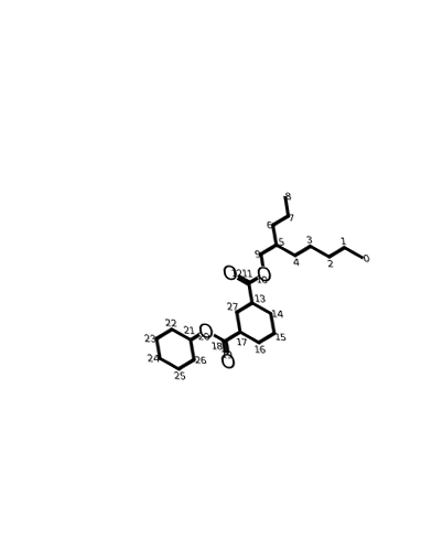 CCCCCC(CCC)COC(=O)C1CCCC(C(=O)OC2CCCCC2)C1